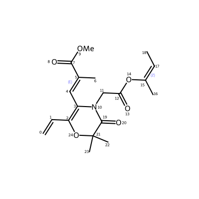 C=CC1=C(/C=C(\C)C(=O)OC)N(CC(=O)O/C(C)=C\C)C(=O)C(C)(C)O1